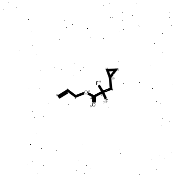 C=CCOC(=O)C(F)(F)CC1CC1